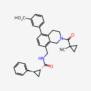 N#CC1(C(=O)N2CCc3c(-c4cccc(C(=O)O)c4)ccc(CNC(=O)[C@@H]4C[C@H]4c4ccccc4)c3C2)CC1